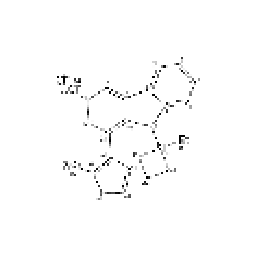 CC[Si]1(C2c3ccccc3-c3cccc(C4=[C]([Zr+2])CC=C4)c32)CCC1.[Cl-].[Cl-]